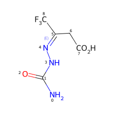 NC(=O)N/N=C(\CC(=O)O)C(F)(F)F